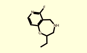 CCC1CNCc2c(ccnc2F)O1